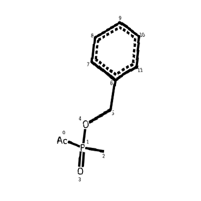 CC(=O)P(C)(=O)OCc1ccccc1